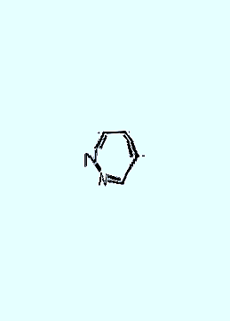 [c]1[c]cnn[c]1